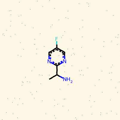 CC(N)c1ncc(F)cn1